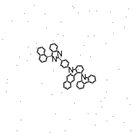 c1ccc2cc3c(cc2c1)c1c(-n2c4ccccc4c4ccccc42)cccc1n3-c1ccc(-c2nc(-c3cccc4ccccc34)c3ccccc3n2)cc1